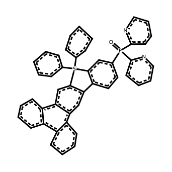 O=P(c1ccc2c(c1)[Si](c1ccccc1)(c1ccccc1)c1cc3c4ccccc4c4ccccc4c3cc1-2)(c1ccccn1)c1ccccn1